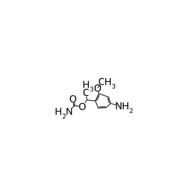 COc1cc(N)ccc1C(C)OC(N)=O